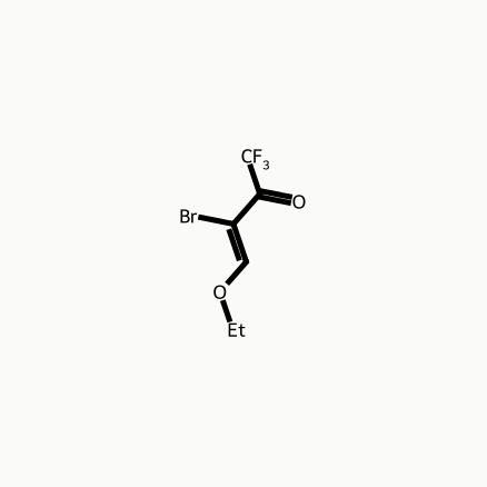 CCOC=C(Br)C(=O)C(F)(F)F